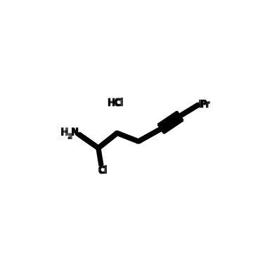 CC(C)C#CCCC(N)Cl.Cl